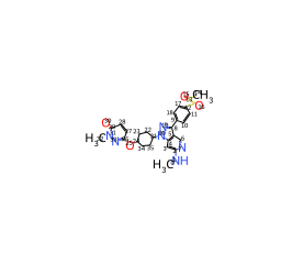 CNc1cc2c(cn1)c(-c1ccc(S(C)(=O)=O)cc1)nn2C1CCC(Oc2ccc(=O)n(C)n2)CC1